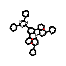 c1ccc(-c2ccc(N(c3ccc(-c4ccccc4)cc3)c3c(-c4ccccc4)cc(-c4nc(-c5ccccc5)nc(-c5ccccc5)n4)cc3-c3ccccc3)cc2)cc1